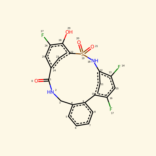 O=C1NCc2ccccc2-c2cc(c(F)cc2F)NS(=O)(=O)c2cc1cc(F)c2O